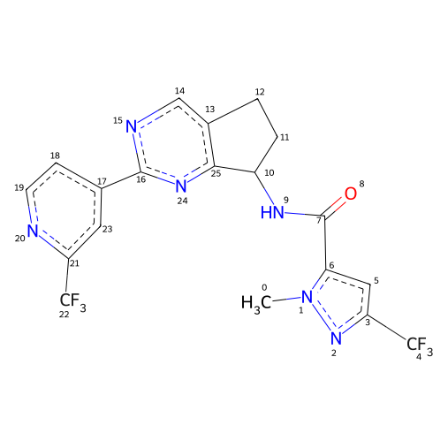 Cn1nc(C(F)(F)F)cc1C(=O)NC1CCc2cnc(-c3ccnc(C(F)(F)F)c3)nc21